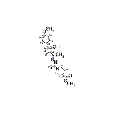 COC(=O)C1CCN(C(=S)N/N=C(\C)c2csc(-c3ccc(OC)cc3)c2O)CC1